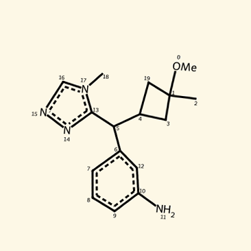 COC1(C)CC(C(c2cccc(N)c2)c2nncn2C)C1